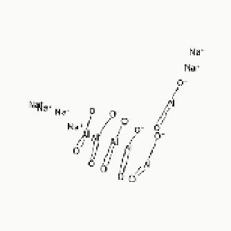 [Na+].[Na+].[Na+].[Na+].[Na+].[Na+].[O]=[Al][O-].[O]=[Al][O-].[O]=[Al][O-].[O]=[Al][O-].[O]=[Al][O-].[O]=[Al][O-]